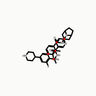 COc1cccc(C(=O)NC2CC3CCC(C2)N3c2ccc(C(=O)NC(C)c3ccc(C4CCNCC4)cc3F)cn2)c1C